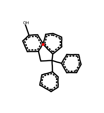 Oc1ccc(CC(c2ccccc2)(c2ccccc2)c2ccccc2)cc1